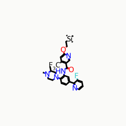 CC1CN(c2ccc(-c3ncccc3F)cc2NC(=O)c2cnc(OCC[Si](C)(C)C)cc2C(F)(F)F)CCN1C